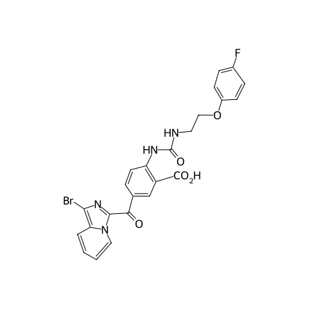 O=C(NCCOc1ccc(F)cc1)Nc1ccc(C(=O)c2nc(Br)c3ccccn23)cc1C(=O)O